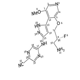 COc1cncc(OC[C@H](F)CN)c1-c1cc(Nc2cnc(C#N)cn2)n[nH]1